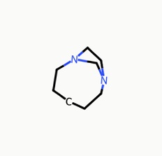 C1CCN2CCN(CC1)C2